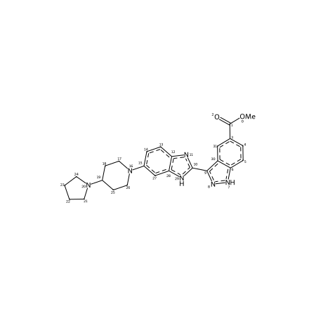 COC(=O)c1ccc2[nH]nc(-c3nc4ccc(N5CCC(N6CCCC6)CC5)cc4[nH]3)c2c1